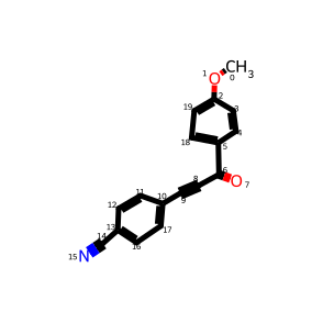 COc1ccc(C(=O)C#Cc2ccc(C#N)cc2)cc1